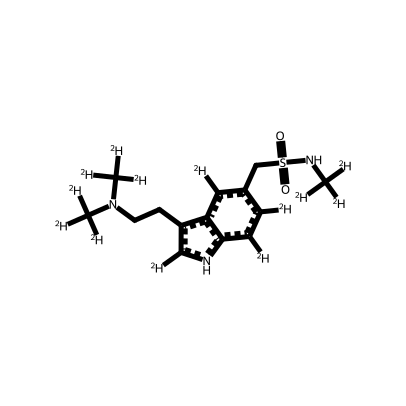 [2H]c1[nH]c2c([2H])c([2H])c(CS(=O)(=O)NC([2H])([2H])[2H])c([2H])c2c1CCN(C([2H])([2H])[2H])C([2H])([2H])[2H]